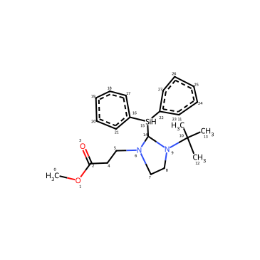 COC(=O)CCN1CCN(C(C)(C)C)C1[SiH](c1ccccc1)c1ccccc1